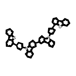 C1=CC(c2cccc3c2sc2ccccc23)CC=C1n1c2ccccc2c2cc(-c3ccc4c(c3)c3ccccc3n4-c3ccc(-c4cccc5c4oc4ccccc45)cc3)ccc21